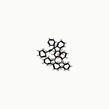 C(#CC1(c2ccccc2)c2ccccc2-c2ccc(-n3c4ccccc4c4ccc5c6ccccc6n(-c6ccccc6)c5c43)cc21)c1ccccc1